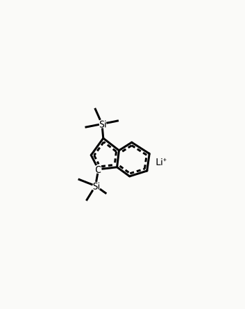 C[Si](C)(C)c1c[c-]([Si](C)(C)C)c2ccccc12.[Li+]